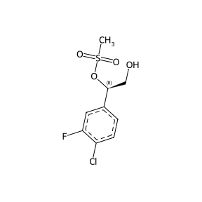 CS(=O)(=O)O[C@@H](CO)c1ccc(Cl)c(F)c1